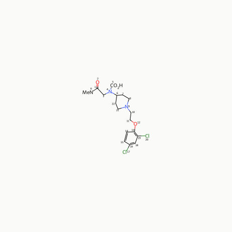 CNC(=O)CN(C(=O)O)C1CCN(CCOc2ccc(Cl)cc2Cl)CC1